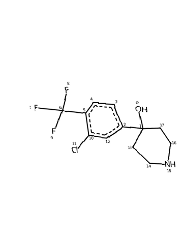 OC1(c2ccc(C(F)(F)F)c(Cl)c2)CCNCC1